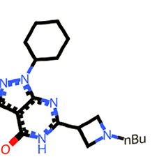 CCCCN1CC(c2nc3c(cnn3C3CCCCC3)c(=O)[nH]2)C1